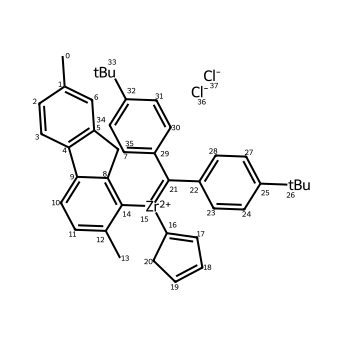 Cc1ccc2c(c1)Cc1c-2ccc(C)[c]1[Zr+2]([C]1=CC=CC1)=[C](c1ccc(C(C)(C)C)cc1)c1ccc(C(C)(C)C)cc1.[Cl-].[Cl-]